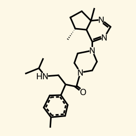 Cc1ccc(C(CNC(C)C)C(=O)N2CCN(C3=NC=NC4(C)CC[C@@H](C)C34)CC2)cc1